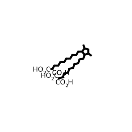 CC1CC(C)C(CCCCCCCCCC(C(=O)O)C(=O)O)C1CCCCCCCCCC(C(=O)O)C(=O)O